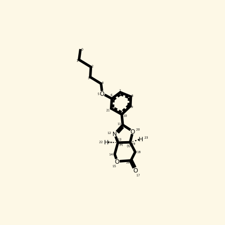 CCCCCOc1cccc(C2=N[C@@H]3COC(=O)C[C@@H]3O2)c1